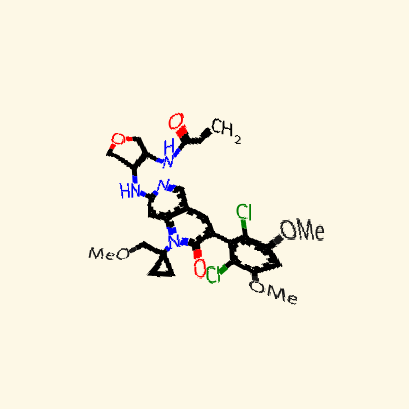 C=CC(=O)NC1COCC1Nc1cc2c(cn1)cc(-c1c(Cl)c(OC)cc(OC)c1Cl)c(=O)n2C1(COC)CC1